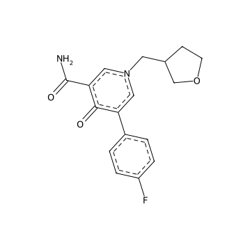 NC(=O)c1cn(CC2CCOC2)cc(-c2ccc(F)cc2)c1=O